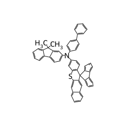 CC1(C)c2ccccc2-c2ccc(N(c3ccc(-c4ccccc4)cc3)c3ccc4c(c3)Sc3cc5ccccc5cc3C43c4ccccc4-c4ccccc43)cc21